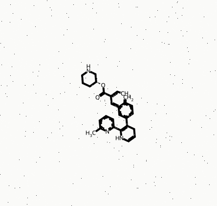 C=c1ccc(C2=C(c3cccc(C)n3)NC=CC2)c/c1=C/C(=C\C)C(=O)O[C@@H]1CCCNC1